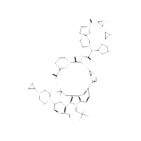 CO[C@@H](C)C1=C(c2c3c4cc(ccc4n2CC(F)(F)F)-c2csc(n2)C[C@H](NC(=O)[C@H](C2CCCC2)N2CC[C@]4(CCN(C(=O)[C@@H]5N[C@@H]5C5CC5)C4)C2)C(=O)N2CCC[C@H](N2)C(=O)OCC(C)(C)C3)CC(N2CCN(C3CC3)CC2)C=N1